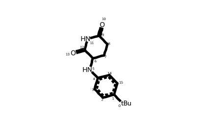 CC(C)(C)c1ccc(NC2CCC(=O)NC2=O)cc1